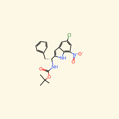 CC(C)(C)OC(=O)N[C@H](Cc1ccccc1)c1cc2cc(Cl)cc([N+](=O)[O-])c2[nH]1